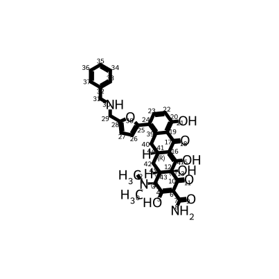 CN(C)[C@@H]1C(O)=C(C(N)=O)C(=O)[C@@]2(O)C(O)=C3C(=O)c4c(O)ccc(-c5ccc(CNCc6ccccc6)o5)c4C[C@H]3C[C@@H]12